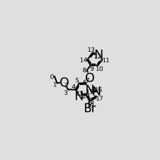 CCOCc1cc(OCc2ccncc2)n2ncc(Br)c2n1